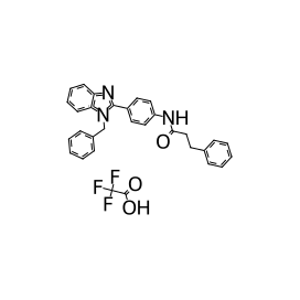 O=C(CCc1ccccc1)Nc1ccc(-c2nc3ccccc3n2Cc2ccccc2)cc1.O=C(O)C(F)(F)F